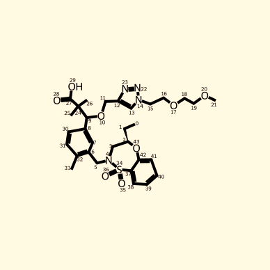 CC[C@@H]1CN(Cc2cc(C(OCc3cn(CCOCCOC)nn3)C(C)(C)C(=O)O)ccc2C)S(=O)(=O)c2ccccc2O1